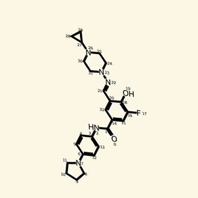 O=C(Nc1ccc(N2CCCC2)cc1)c1cc(F)c(O)c(/C=N/N2CCN(C3CC3)CC2)c1